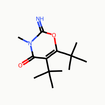 Cn1c(=N)oc(C(C)(C)C)c(C(C)(C)C)c1=O